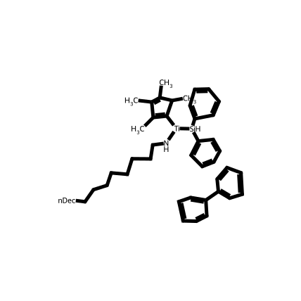 CCCCCCCCCCCCCCCCCC[NH][Ti]([C]1=C(C)C(C)=C(C)C1C)[SiH](c1ccccc1)c1ccccc1.c1ccc(-c2ccccc2)cc1